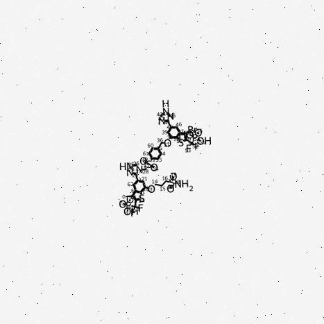 Cc1c(C(F)(F)P(=O)(O)O)sc2c(OCCCS(N)(=O)=O)cc(-c3n[nH]c[n+]3CS(=O)(=O)c3ccc(COc4cc(-c5nc[nH]n5)cc5c(Br)c(C(F)(F)P(=O)(O)O)sc45)cc3)cc12